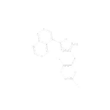 Clc1ccc(Cl)c(Cc2nc(-c3cccc4ccccc34)c[nH]2)c1